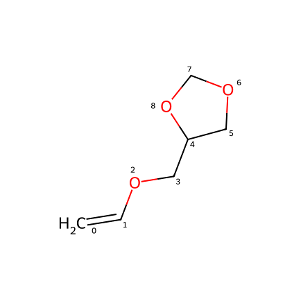 C=COCC1COCO1